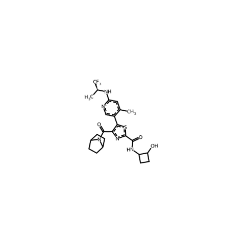 Cc1cc(N[C@@H](C)C(F)(F)F)ncc1-c1sc(C(=O)NC2CCC2O)nc1C(=O)N1C2CCC1CC2